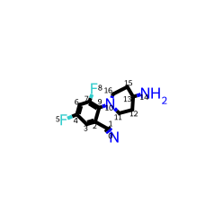 N#Cc1cc(F)cc(F)c1N1CCC(N)CC1